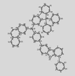 c1ccc(-c2cccc3c2oc2ccc(-c4ccc(N(c5ccc6c(c5)C(c5ccccc5)(c5ccccc5)c5ccccc5-6)c5ccc6ccc7ccccc7c6c5)cc4)cc23)cc1